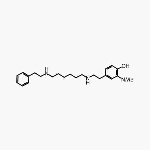 CNc1cc(CCNCCCCCCNCCc2ccccc2)ccc1O